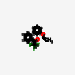 CCOc1ccccc1.O=C(c1ccccc1)C(F)(F)F